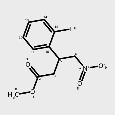 COC(=O)CC(C[N+](=O)[O-])c1ccccc1I